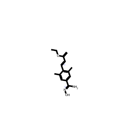 C=C(/C=C/c1c(C)cc(/C(N)=N/O)cc1C)OCC